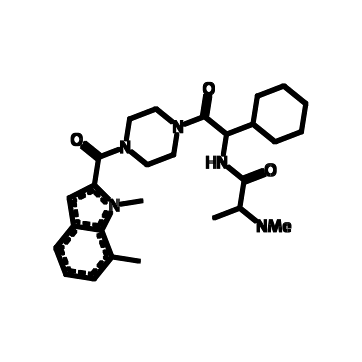 CNC(C)C(=O)NC(C(=O)N1CCN(C(=O)c2cc3cccc(C)c3n2C)CC1)C1CCCCC1